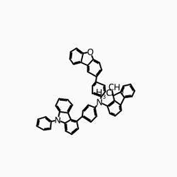 CC1(C)c2ccccc2-c2cccc(N(c3ccc(-c4ccc5oc6ccccc6c5c4)cc3)c3ccc(-c4cccc5c4c4ccccc4n5-c4ccccc4)cc3)c21